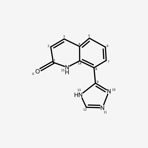 O=c1ccc2cccc(-c3nnc[nH]3)c2[nH]1